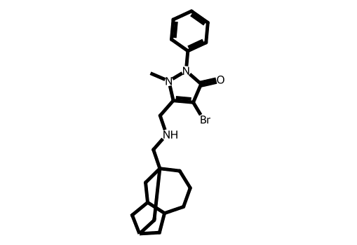 Cn1c(CNCC23CCCC4CC(CC4C2)C3)c(Br)c(=O)n1-c1ccccc1